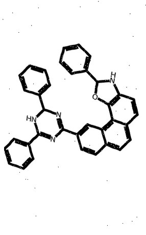 c1ccc(C2=NC(c3ccc4ccc5ccc6c(c5c4c3)OC(c3ccccc3)N6)=NC(c3ccccc3)N2)cc1